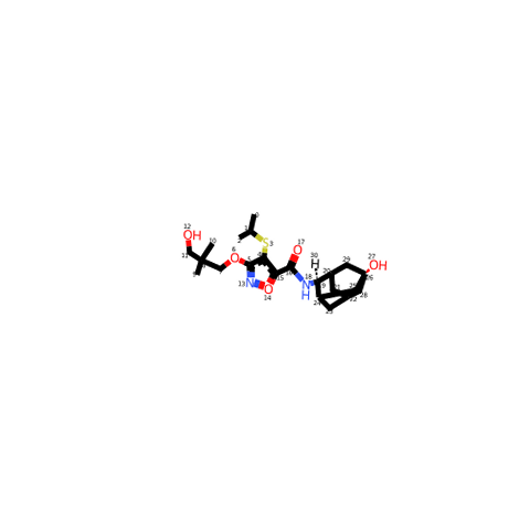 CC(C)Sc1c(OCC(C)(C)CO)noc1C(=O)N[C@H]1C2CC3CC1C[C@](O)(C3)C2